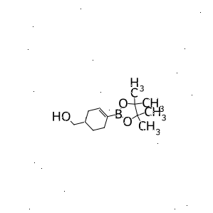 CC1(C)OB(C2=CCC(CO)CC2)OC1(C)C